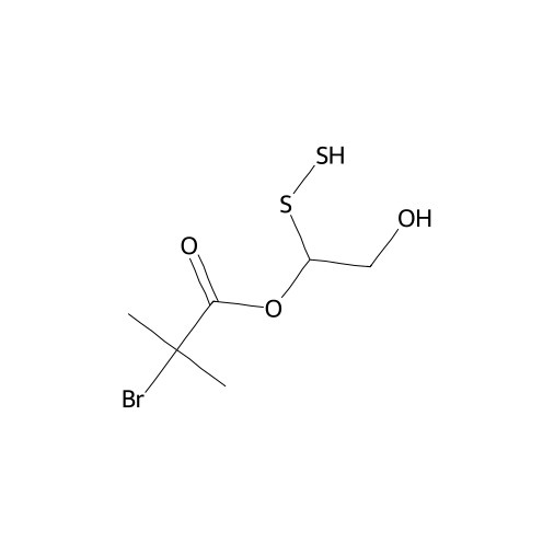 CC(C)(Br)C(=O)OC(CO)SS